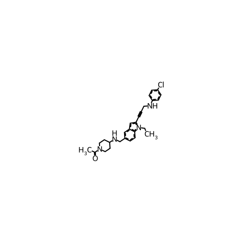 CCn1c(C#CCNc2ccc(Cl)cc2)cc2cc(CNC3CCN(C(C)=O)CC3)ccc21